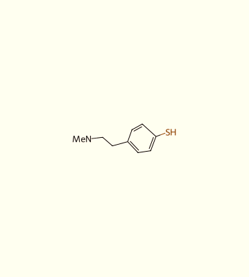 CNCCc1ccc(S)cc1